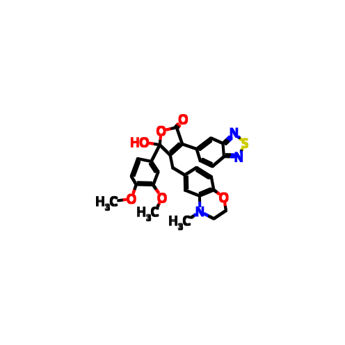 COc1ccc(C2(O)OC(=O)C(c3ccc4nsnc4c3)=C2Cc2ccc3c(c2)N(C)CCO3)cc1OC